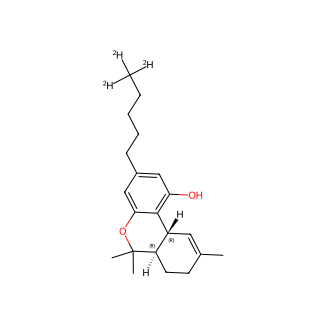 [2H]C([2H])([2H])CCCCc1cc(O)c2c(c1)OC(C)(C)[C@@H]1CCC(C)=C[C@@H]21